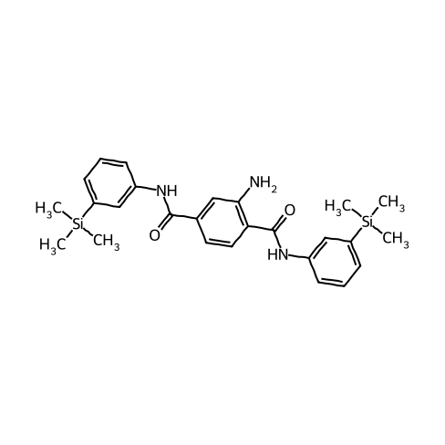 C[Si](C)(C)c1cccc(NC(=O)c2ccc(C(=O)Nc3cccc([Si](C)(C)C)c3)c(N)c2)c1